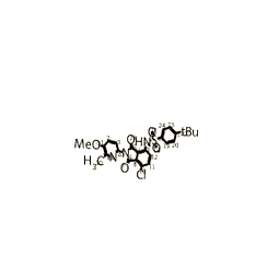 COc1ccc(N2C(=O)c3c(Cl)ccc(NS(=O)(=O)c4ccc(C(C)(C)C)cc4)c3C2=O)nc1C